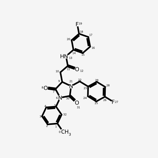 Cc1cccc(N2C(=O)C(CC(=O)Nc3cccc(F)c3)N(Cc3ccc(F)cc3)C2=O)c1